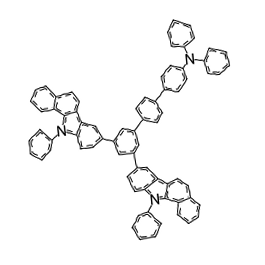 c1ccc(N(c2ccccc2)c2ccc(-c3ccc(-c4cc(-c5ccc6c(c5)c5ccc7ccccc7c5n6-c5ccccc5)cc(-c5ccc6c(c5)c5ccc7ccccc7c5n6-c5ccccc5)c4)cc3)cc2)cc1